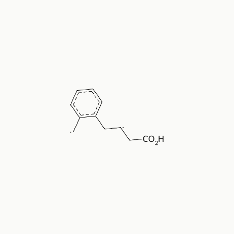 [CH2]c1ccccc1C[CH]CC(=O)O